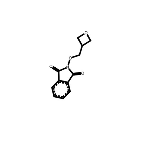 O=C1c2ccccc2C(=O)N1OCC1COC1